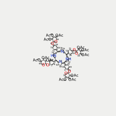 CC(=O)O[C@@H]1[C@@H](OC(C)=O)[C@H](Oc2ccc(-c3c4nc(c(-c5ccc(O[C@@H]6OC[C@@H](OC(C)=O)[C@H](OC(C)=O)[C@H]6OC(C)=O)cc5)c5ccc([nH]5)c(-c5ccc(O[C@@H]6OC[C@@H](OC(C)=O)[C@H](OC(C)=O)[C@H]6OC(C)=O)cc5)c5nc(c(-c6ccc(O[C@@H]7OC[C@@H](OC(C)=O)[C@H](OC(C)=O)[C@H]7OC(C)=O)cc6)c6ccc3[nH]6)CC5)CC4)cc2)OC[C@H]1OC(C)=O